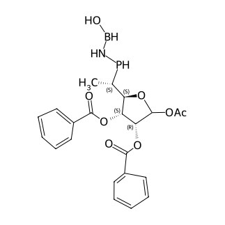 CC(=O)OC1O[C@H]([C@H](C)PNBO)[C@@H](OC(=O)c2ccccc2)[C@H]1OC(=O)c1ccccc1